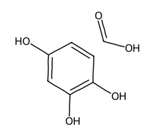 O=CO.Oc1ccc(O)c(O)c1